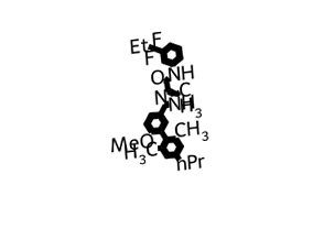 CCCc1cc(C)c(-c2cc(-c3nc(C(=O)Nc4cccc(C(F)(F)CC)c4)c(C)[nH]3)ccc2OC)c(C)c1